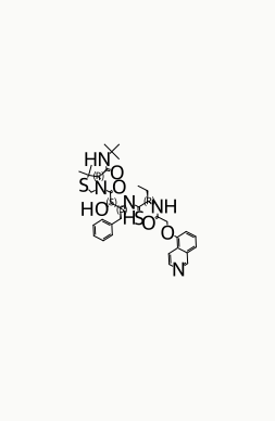 CC[C@@H](NC(=O)COc1cccc2cnccc12)C(=S)N[C@@H](Cc1ccccc1)[C@H](O)C(=O)N1CSC(C)(C)[C@H]1C(=O)NC(C)(C)C